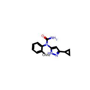 COc1ccccc1N(C(N)=O)c1cc(C2CC2)n[nH]1